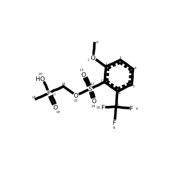 COc1cccc(C(F)(F)F)c1S(=O)(=O)OCP(C)(=O)O